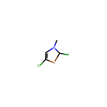 CN1C=C(Cl)SC1F